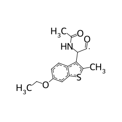 CCOc1ccc2c(C([C]=O)NC(C)=O)c(C)sc2c1